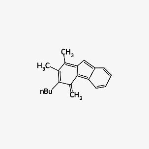 C=c1c(CCCC)c(C)c(C)c2c1=c1ccccc1=C2